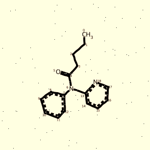 CCCCC(=O)N(c1ccccc1)c1ccccn1